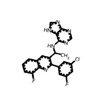 CC(Nc1ncnc2nc[nH]c12)c1cc2cccc(F)c2nc1-c1cc(F)cc(Cl)c1